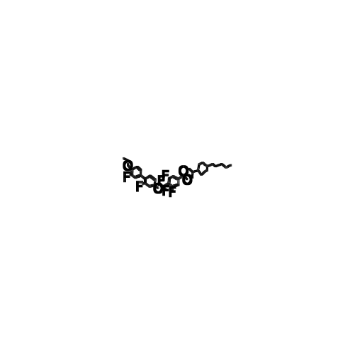 CCCCCC1CCC(C2COC(c3cc(F)c(C(F)(F)Oc4ccc(-c5ccc(OCC)c(F)c5)c(F)c4)c(F)c3)OC2)CC1